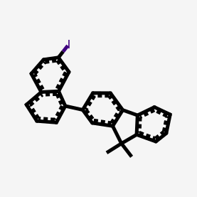 CC1(C)c2ccccc2-c2ccc(-c3cccc4ccc(I)cc34)cc21